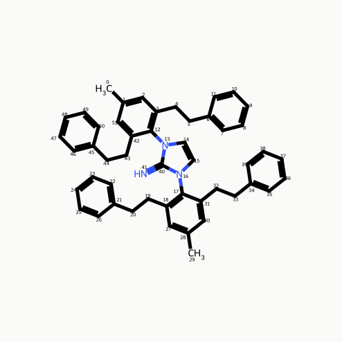 Cc1cc(CCc2ccccc2)c(-n2ccn(-c3c(CCc4ccccc4)cc(C)cc3CCc3ccccc3)c2=N)c(CCc2ccccc2)c1